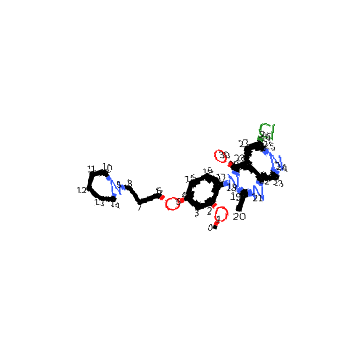 COc1cc(OCCCN2CCCCC2)ccc1-n1c(C)nc2cnc(Cl)cc2c1=O